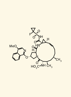 COc1cnc(O[C@@H]2C[C@H]3C(=O)N[C@]4(C(=O)NS(=O)(=O)C5(F)CC5)C[C@H]4C=CCC[C@@H](C)C[C@@H](C)[C@H](NC(=O)O)C(=O)N3C2)c2ccccc12